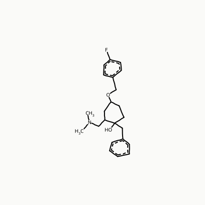 CN(C)CC1CC(OCc2ccc(F)cc2)CCC1(O)Cc1ccccc1